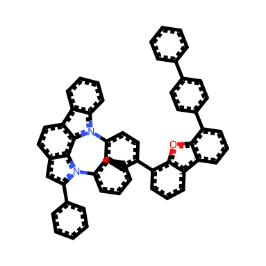 c1ccc(-c2ccc(-c3cccc4c3oc3c(-c5ccc(-n6c7ccccc7c7ccc8cc(-c9ccccc9)n(-c9ccccc9)c8c76)cc5)cccc34)cc2)cc1